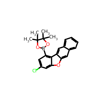 CC1(C)OB(c2cc(Cl)cc3oc4cc5ccccc5cc4c23)OC1(C)C